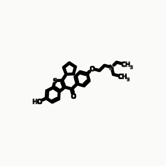 CCN(CC)CCOc1ccc(C(=O)c2c(C3CCCC3)sc3cc(O)ccc23)cc1